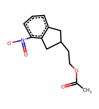 CC(=O)OCCC1Cc2cccc([N+](=O)[O-])c2C1